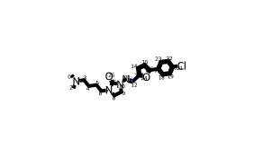 CN(C)CCCCN1CCN(/N=C/c2ccc(-c3ccc(Cl)cc3)o2)C1=O